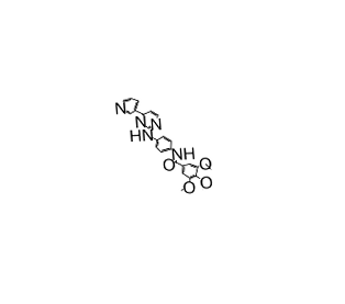 COc1cc(C(=O)Nc2ccc(Nc3nccc(-c4cccnc4)n3)cc2)cc(OC)c1OC